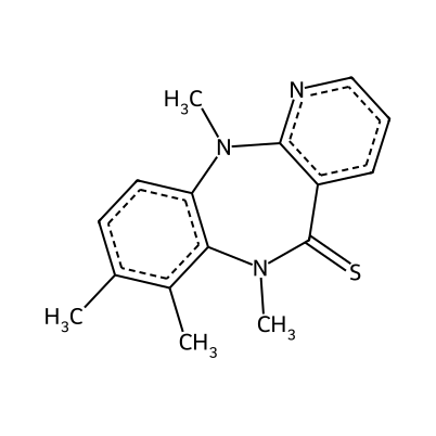 Cc1ccc2c(c1C)N(C)C(=S)c1cccnc1N2C